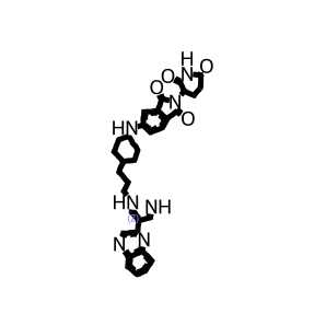 N=C/C(=C\NCCCC1CCC(Nc2ccc3c(c2)C(=O)N(C2CCC(=O)NC2=O)C3=O)CC1)c1cnc2ccccc2n1